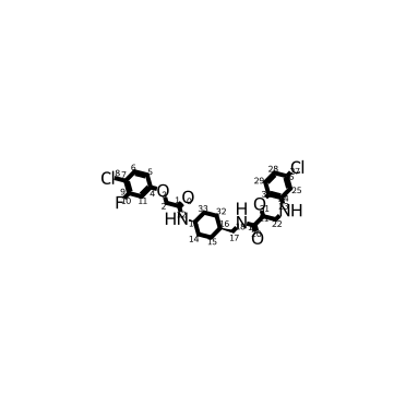 O=C(COc1ccc(Cl)c(F)c1)N[C@H]1CC[C@H](CNC(=O)C2CNc3cc(Cl)ccc3O2)CC1